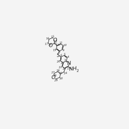 Nc1nc2ccc(Sc3cccc(C4OCCCO4)c3)cc2cc1CC1CCOCC1